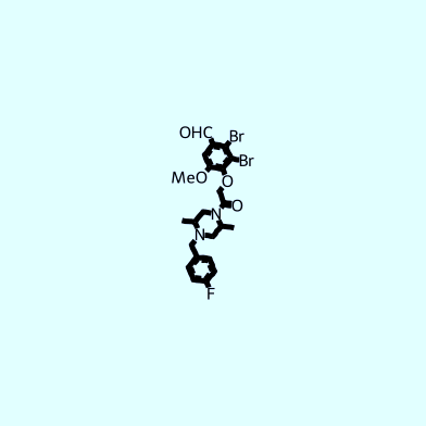 COc1cc(C=O)c(Br)c(Br)c1OCC(=O)N1CC(C)N(Cc2ccc(F)cc2)CC1C